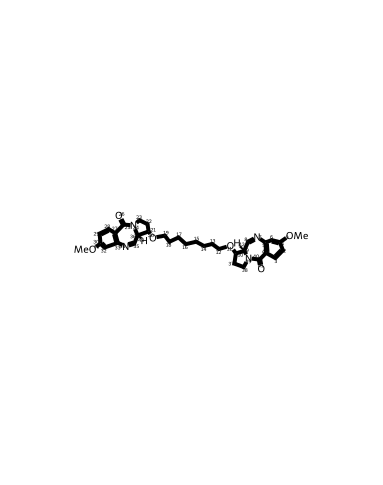 COc1ccc2c(c1)N=C[C@H]1C(OCCCCCCCCOC3CCN4C(=O)c5ccc(OC)cc5N=C[C@@H]34)CCN1C2=O